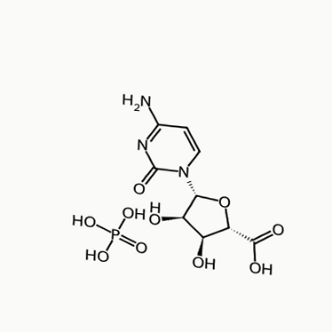 Nc1ccn([C@@H]2O[C@H](C(=O)O)[C@@H](O)[C@H]2O)c(=O)n1.O=P(O)(O)O